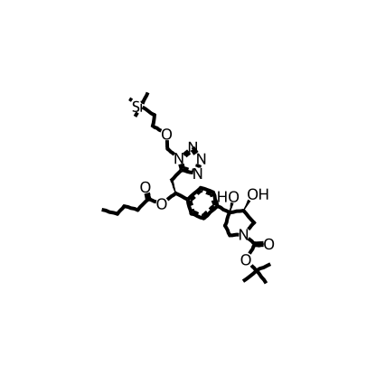 CCCCC(=O)O[C@@H](Cc1nnnn1COCC[Si](C)(C)C)c1ccc([C@@]2(O)CCN(C(=O)OC(C)(C)C)C[C@@H]2O)cc1